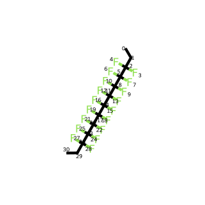 CCC(F)(F)C(F)(F)C(F)(F)C(F)(F)C(F)(F)C(F)(F)C(F)(F)C(F)(F)C(F)(F)CC